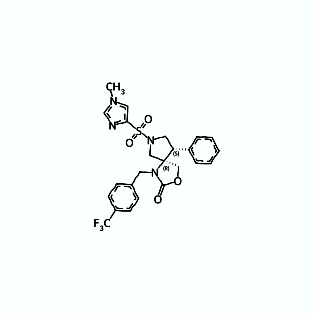 Cn1cnc(S(=O)(=O)N2C[C@H](c3ccccc3)[C@]3(COC(=O)N3Cc3ccc(C(F)(F)F)cc3)C2)c1